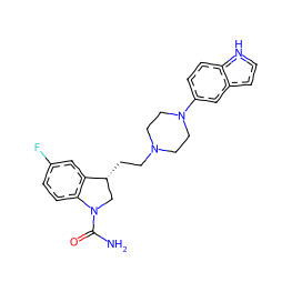 NC(=O)N1C[C@@H](CCN2CCN(c3ccc4[nH]ccc4c3)CC2)c2cc(F)ccc21